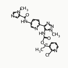 C[C@@H](OC(=O)Nc1c(-c2ccc(NC(=O)c3cncn3C)cn2)nnn1C)c1cccnc1Cl